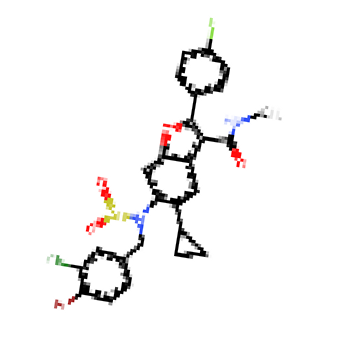 CNC(=O)c1c(-c2ccc(F)cc2)oc2cc(N(Cc3ccc(Br)c(Cl)c3)[SH](=O)=O)c(C3CC3)cc12